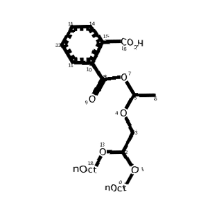 CCCCCCCCOC(COC(C)OC(=O)c1ccccc1C(=O)O)OCCCCCCCC